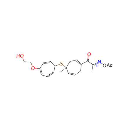 CC(=O)O/N=C(\C)C(=O)C1=CCC(C)(SC2C=CC=C(OCCO)C=C2)C=CC1